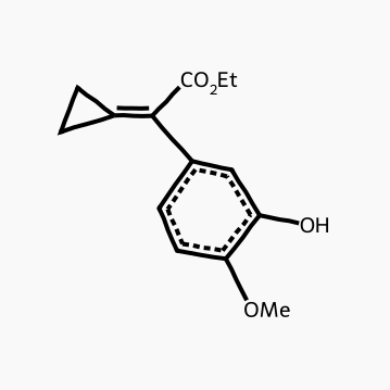 CCOC(=O)C(=C1CC1)c1ccc(OC)c(O)c1